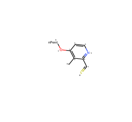 CCCCCOc1ccnc(C=S)c1C